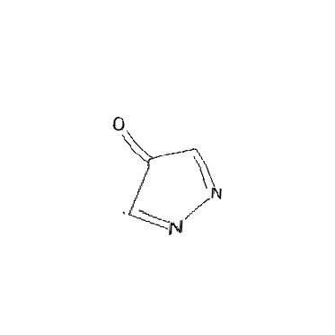 O=C1[C]=NN=C1